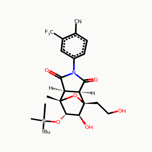 CC(C)(C)[Si](C)(C)O[C@H]1[C@H](O)[C@]2(CCO)O[C@@]1(C)[C@H]1C(=O)N(c3ccc(C#N)c(C(F)(F)F)c3)C(=O)[C@H]12